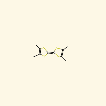 CC1=C(C)SC(=C2SC(C)=C(C)S2)S1